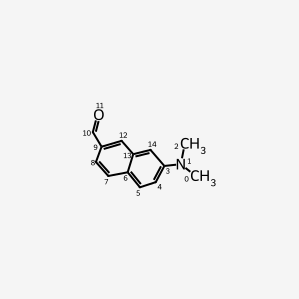 CN(C)c1ccc2ccc(C=O)cc2c1